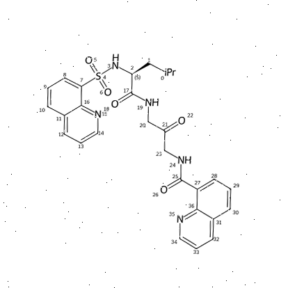 CC(C)C[C@H](NS(=O)(=O)c1cccc2cccnc12)C(=O)NCC(=O)CNC(=O)c1cccc2cccnc12